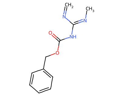 C=N/C(=N\C)NC(=O)OCc1ccccc1